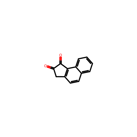 O=C1Cc2ccc3ccccc3c2C1=O